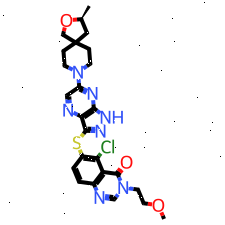 COCCn1cnc2ccc(Sc3n[nH]c4nc(N5CCC6(CC5)CO[C@@H](C)C6)cnc34)c(Cl)c2c1=O